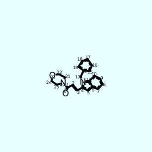 O=C(/C=C/c1cc2ccccc2n1Cc1ccccc1)N1CCOCC1